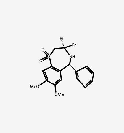 CC[C@@]1(Br)CS(=O)(=O)c2cc(OC)c(OC)cc2[C@@H](c2ccccc2)N1